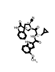 COc1cccc2[nH]c(C(=O)N[C@@H](CC3CC3)C(=O)N3C[C@]4(C[C@H]3C#N)C(=O)Nc3ccccc34)cc12